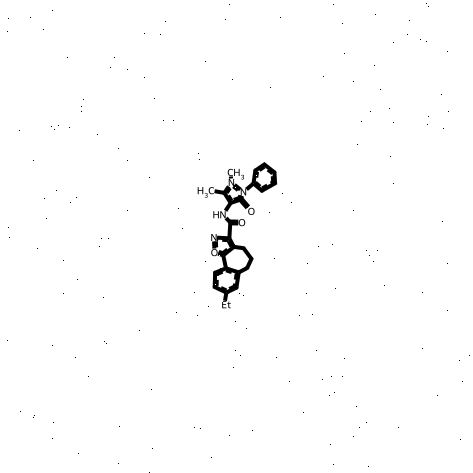 CCc1ccc2c(c1)CCCc1c(C(=O)Nc3c(C)n(C)n(-c4ccccc4)c3=O)noc1-2